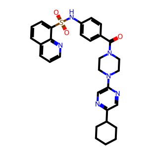 O=C(c1ccc(NS(=O)(=O)c2cccc3cccnc23)cc1)N1CCN(c2cnc(C3CCCCC3)cn2)CC1